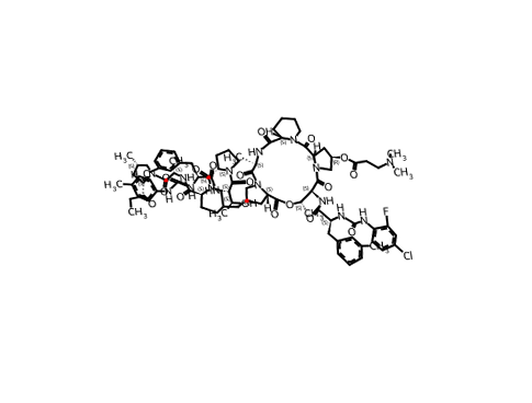 CCC(=O)[C@@H]1C[C@H](C)CN1C(=O)[C@H](C)NC(=O)[C@@H]1CCC(C[C@@H]2C[C@H]3C(=O)O[C@@H](C)[C@H](NC(=O)[C@H](Cc4cccc(C)c4)NC(=O)Nc4ccc(Cl)cc4F)C(=O)N4C[C@H](OC(=O)CCN(C)C)C[C@H]4C(=O)N4CCCC[C@H]4C(=O)N[C@@H](C)C(=O)N3C2)CN1C(=O)[C@@H]1CCCN1C(=O)[C@@H](NC(=O)[C@H](Cc1cccc(C)c1)NC(=O)Nc1ccc(C)cc1)[C@H](C)O